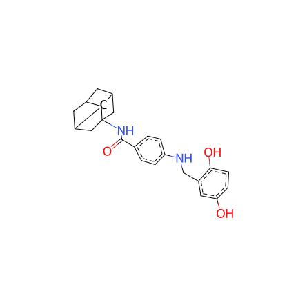 O=C(NC12CC3CC(CC(C3)C1)C2)c1ccc(NCc2cc(O)ccc2O)cc1